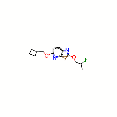 CC(F)COc1nc2ccc(OCC3CCC3)nc2s1